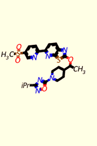 CC(C)c1noc(N2CCC(C(C)Oc3nc4ccc(-c5ccc(S(C)(=O)=O)cn5)nc4s3)CC2)n1